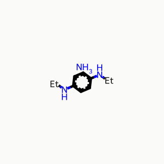 CCNc1ccc(NCC)cc1.N